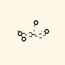 CCOc1cccc(F)c1CN1CCN(C(=O)[C@H](NC(=O)OCc2ccccc2)C2CCN(CCc3cc(Cl)ccc3-c3ccc(O)cc3)CC2)CC1